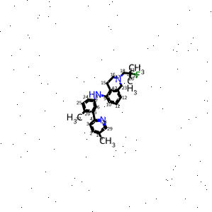 Cc1ccc(-c2cc(Nc3cccc4c3CCN(CC(C)(C)F)C4)ccc2C)nc1